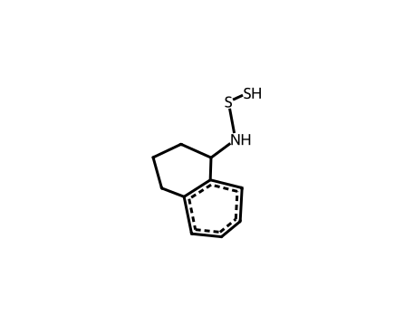 SSNC1CCCc2ccccc21